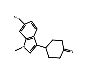 Cn1cc(C2CCC(=O)CC2)c2ccc(C#N)cc21